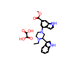 CCN1CCN(c2cc(C(=O)OC)cc3[nH]ccc23)CC1c1c[nH]c2ccccc12.O=C(O)C(=O)O